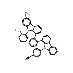 Cc1ccc2c(c1)C1C=CC=C(c3ccccc3C3=C4C(CC=C3)c3ccccc3N4c3ccc(C#N)cc3)C1N2C1=CC=CCC1C